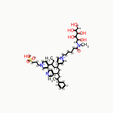 CCC(CC(CC(CC(C)c1ccccc1)c1ccncc1)c1cc[n+](CCCCCC(=O)N(C)CC(O)C(O)C(O)C(O)CO)cc1)c1cc[n+](CCCS(=O)(=O)O)cc1